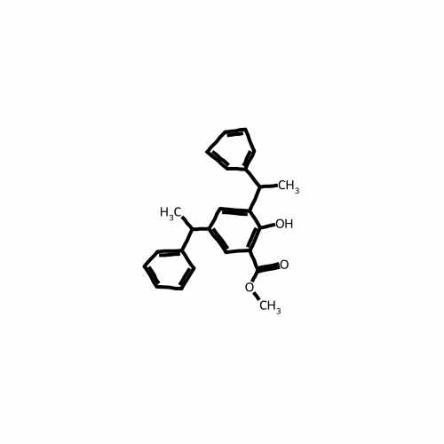 COC(=O)c1cc(C(C)c2ccccc2)cc(C(C)c2ccccc2)c1O